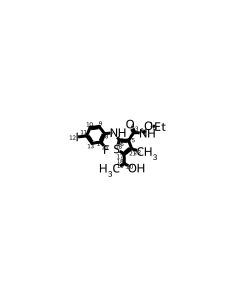 CCONC(=O)c1c(Nc2ccc(I)cc2F)sc(C(C)O)c1C